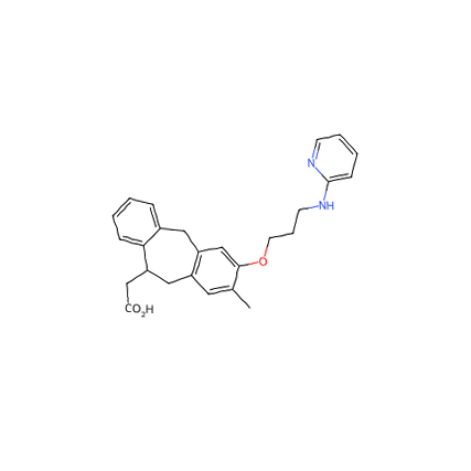 Cc1cc2c(cc1OCCCNc1ccccn1)Cc1ccccc1C(CC(=O)O)C2